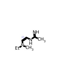 CCN(C)/C=C\NC(C)=N